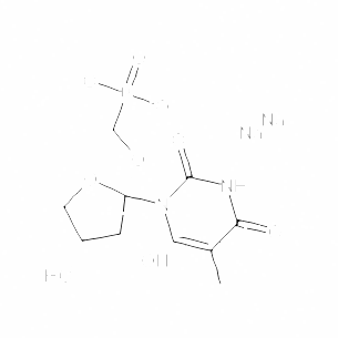 Cc1cn([C@]2(OCP(=O)([O-])[O-])OC[C@@H](O)[C@H]2O)c(=O)[nH]c1=O.[Na+].[Na+]